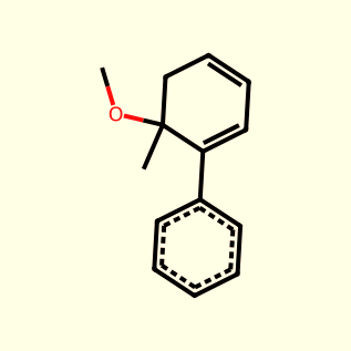 COC1(C)CC=CC=C1c1ccccc1